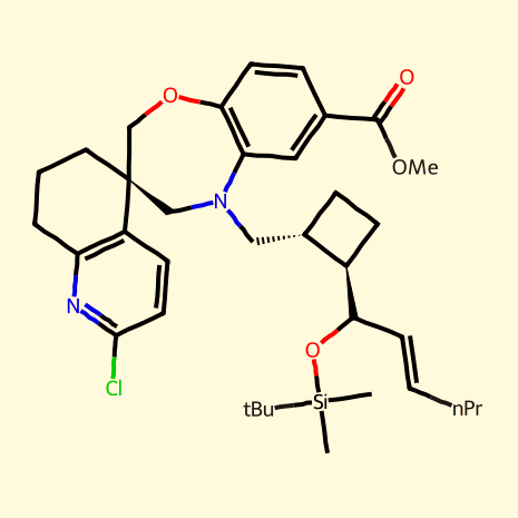 CCC/C=C/C(O[Si](C)(C)C(C)(C)C)[C@@H]1CC[C@H]1CN1C[C@@]2(CCCc3nc(Cl)ccc32)COc2ccc(C(=O)OC)cc21